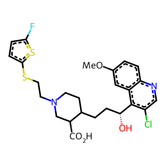 COc1ccc2ncc(Cl)c([C@H](O)CCC3CCN(CCSc4ccc(F)s4)CC3C(=O)O)c2c1